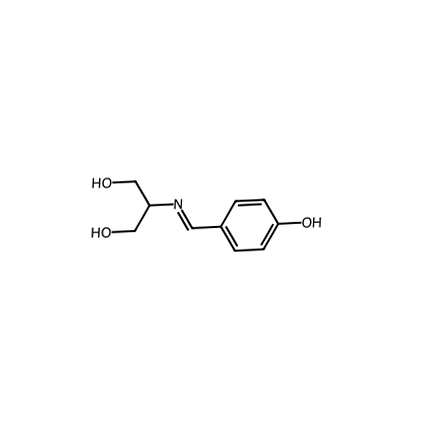 OCC(CO)N=Cc1ccc(O)cc1